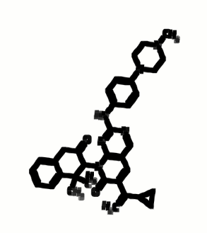 C=C(c1cc2cnc(Nc3ccc(N4CCN(C)CC4)cc3)nc2n(C2C(=O)Cc3ccccc3C2(C)C)c1=O)C1CC1